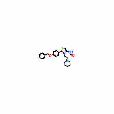 O=CNC1=CSC(c2ccc(OCc3ccccc3)cc2)N1CCN1CCCCC1